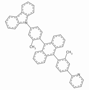 Cc1cc(-c2ccccn2)ccc1-c1c2ccccc2c(-c2ccc(-n3c4ccccc4c4ccccc43)cc2C)c2ccccc12